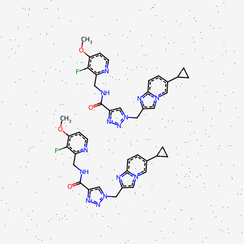 COc1ccnc(CNC(=O)c2cn(Cc3cn4cc(C5CC5)ccc4n3)nn2)c1F.COc1ccnc(CNC(=O)c2cn(Cc3cn4cc(C5CC5)ccc4n3)nn2)c1F